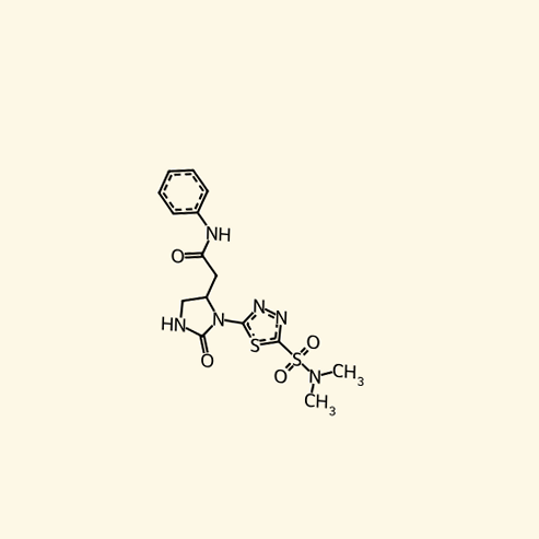 CN(C)S(=O)(=O)c1nnc(N2C(=O)NCC2CC(=O)Nc2ccccc2)s1